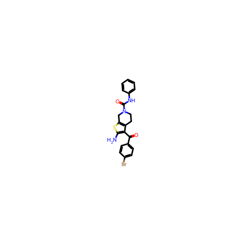 Nc1sc2c(c1C(=O)c1ccc(Br)cc1)CCN(C(=O)Nc1ccccc1)C2